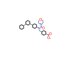 COC(=O)c1ccc(CN(C(=O)N2CCOCC2)c2ccc(-c3cccc(-c4ccccc4)c3)cc2)cc1